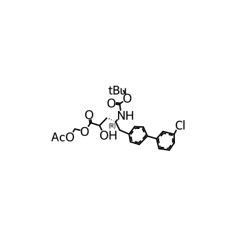 CC(=O)OCOC(=O)C(O)C[C@@H](Cc1ccc(-c2cccc(Cl)c2)cc1)NC(=O)OC(C)(C)C